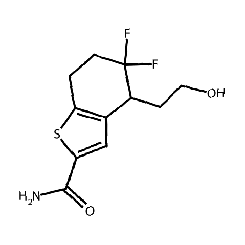 NC(=O)c1cc2c(s1)CCC(F)(F)C2CCO